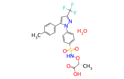 Cc1ccc(-c2cc(C(F)(F)F)nn2-c2ccc(S(=O)(=O)NO[C@H](C)C(=O)O)cc2)cc1.O